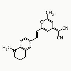 CC1=CC(=C(C#N)C#N)C=C(/C=C/c2ccc3c(c2)CCCN3C)O1